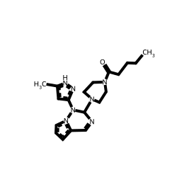 CCCCC(=O)N1CCN(C2N=Cc3cccn3N2c2cc(C)[nH]n2)CC1